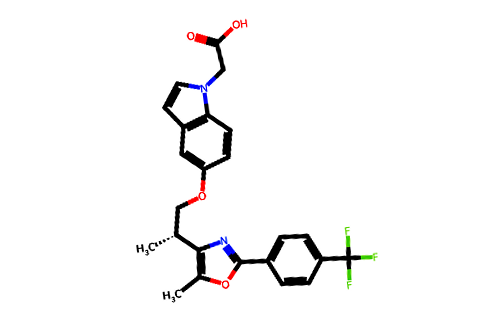 Cc1oc(-c2ccc(C(F)(F)F)cc2)nc1[C@H](C)COc1ccc2c(ccn2CC(=O)O)c1